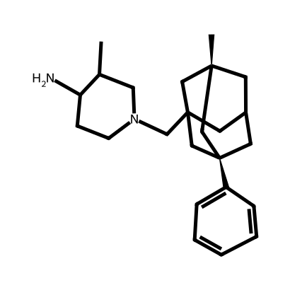 CC1CN(CC23CC4C[C@@](C)(C2)C[C@](c2ccccc2)(C4)C3)CCC1N